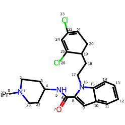 CC(C)N1CCC(NC(=O)c2cc3ccccc3n2CCC2CC=C(Cl)C=C2Cl)CC1